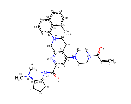 C=CC(=O)N1CCN(c2cc(C(=O)N[C@@H]3CCC[C@H]3N(C)C)nc3c2CCN(c2cccc4cccc(C)c24)C3)CC1